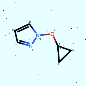 c1cnn(OC2CC2)c1